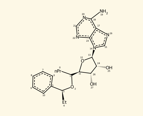 CCCC(O[C@@H](CC)c1ccccc1)[C@H]1O[C@@H](n2cnc3c(N)ncnc32)[C@H](O)[C@@H]1O